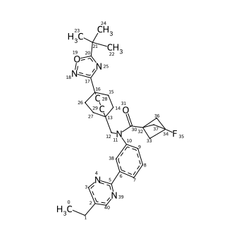 CCc1cnc(-c2cccc(N(CC34CCC(c5noc(C(C)(C)C)n5)(CC3)CC4)C(=O)C34CC(F)(C3)C4)c2)nc1